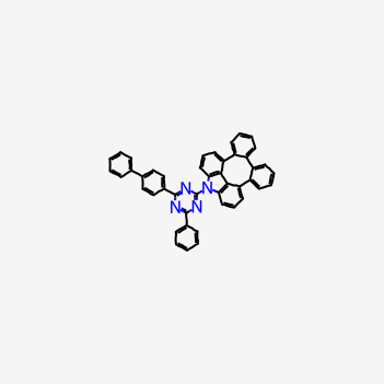 c1ccc(-c2ccc(-c3nc(-c4ccccc4)nc(-n4c5cccc6c7ccccc7c7ccccc7c7cccc4c7c65)n3)cc2)cc1